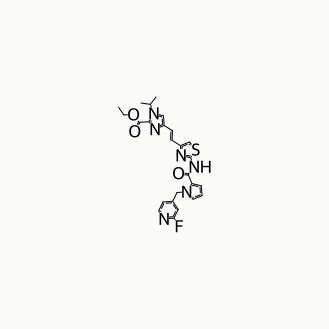 CCOC(=O)c1nc(C=Cc2csc(NC(=O)c3cccn3Cc3ccnc(F)c3)n2)cn1C(C)C